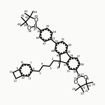 CC1(CCCCc2ccc3c(c2)CC3)c2cc(B3OC(C)(C)C(C)(C)O3)ccc2-c2ccc(-c3ccc(B4OC(C)(C)C(C)(C)O4)cc3)cc21